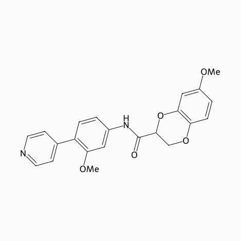 COc1ccc2c(c1)OC(C(=O)Nc1ccc(-c3ccncc3)c(OC)c1)CO2